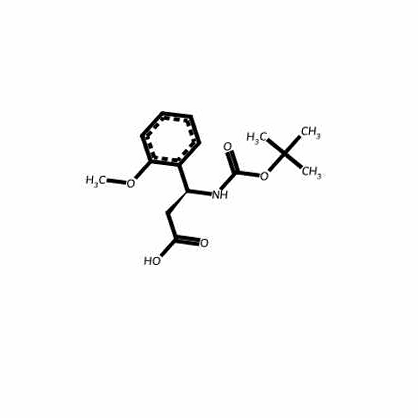 COc1ccccc1[C@H](CC(=O)O)NC(=O)OC(C)(C)C